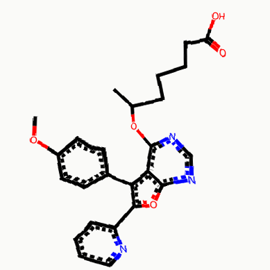 COc1ccc(-c2c(-c3ccccn3)oc3ncnc(OC(C)CCCCC(=O)O)c23)cc1